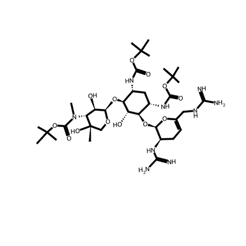 CN(C(=O)OC(C)(C)C)[C@@H]1[C@@H](O)[C@@H](O[C@@H]2[C@@H](O)[C@H](O[C@H]3OC(CNC(=N)N)=CC[C@H]3NC(=N)N)[C@@H](NC(=O)OC(C)(C)C)C[C@H]2NC(=O)OC(C)(C)C)OC[C@]1(C)O